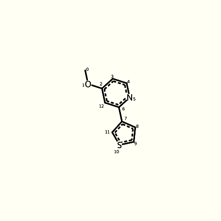 COc1ccnc(-c2ccsc2)c1